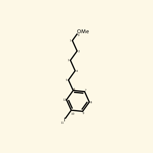 COCCCCCc1cccc(I)c1